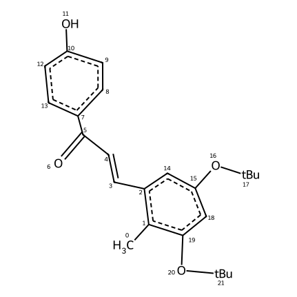 Cc1c(C=CC(=O)c2ccc(O)cc2)cc(OC(C)(C)C)cc1OC(C)(C)C